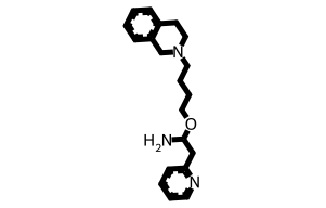 NC(Cc1ccccn1)OCCCCN1CCc2ccccc2C1